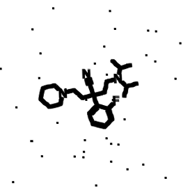 CC(C)N(CCC(C#N)(CCN1CCCCC1)c1ccccc1F)C(C)C